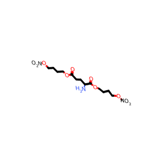 N[C@@H](CCC(=O)OCCCCO[N+](=O)[O-])C(=O)OCCCCO[N+](=O)[O-]